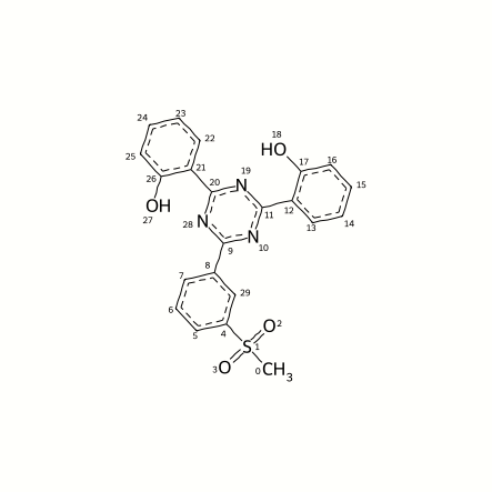 CS(=O)(=O)c1cccc(-c2nc(-c3ccccc3O)nc(-c3ccccc3O)n2)c1